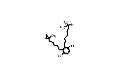 CCC(C)(C)CCCCCCc1c(O)ccc(O)c1CCCCCC1(C)CC1